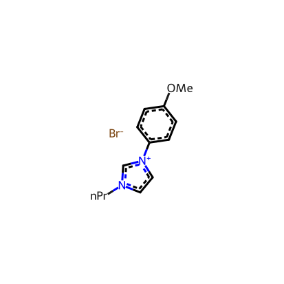 CCCn1cc[n+](-c2ccc(OC)cc2)c1.[Br-]